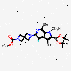 CC(C)c1c(B2OC(C)(C)C(C)(C)O2)n(C(=O)O)c2c(C(C)(C)C)nc(N3CC4(CN(C(=O)OC(C)(C)C)C4)C3)c(F)c12